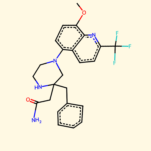 COc1ccc(N2CCNC(CC(N)=O)(Cc3ccccc3)C2)c2ccc(C(F)(F)F)nc12